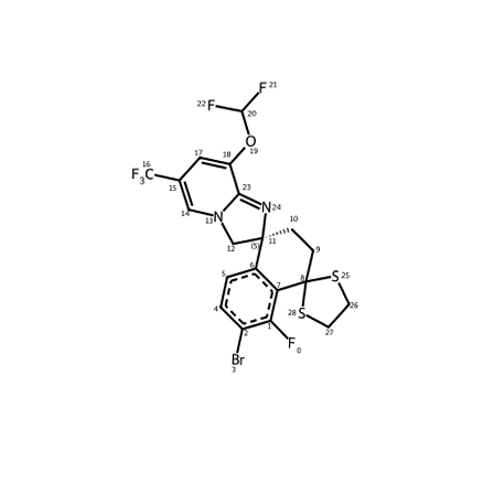 Fc1c(Br)ccc2c1C1(CC[C@@]23CN2C=C(C(F)(F)F)C=C(OC(F)F)C2=N3)SCCS1